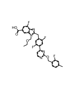 CCOCn1c(Cc2cc(F)c(-c3ccnc(OCc4ccc(C)cc4F)n3)cc2F)nc2c(F)cc(C(=O)O)cc21